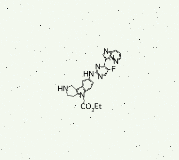 CCOC(=O)Cn1c2c(c3cc(Nc4ncc(F)c(-c5cnc6cccnn56)n4)ccc31)CNCC2